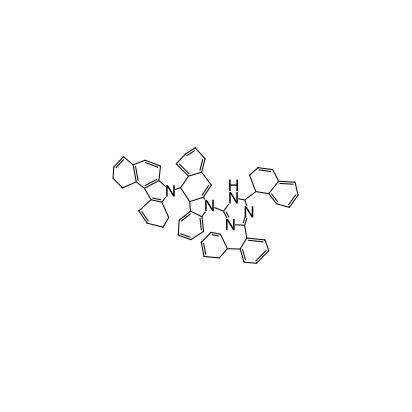 C1=CCC(c2ccccc2C2=NC(C3CC=Cc4ccccc43)NC(N3C4=Cc5ccccc5C(n5c6c(c7c8c(ccc75)C=CCC8)C=CCC6)C4c4ccccc43)=N2)C=C1